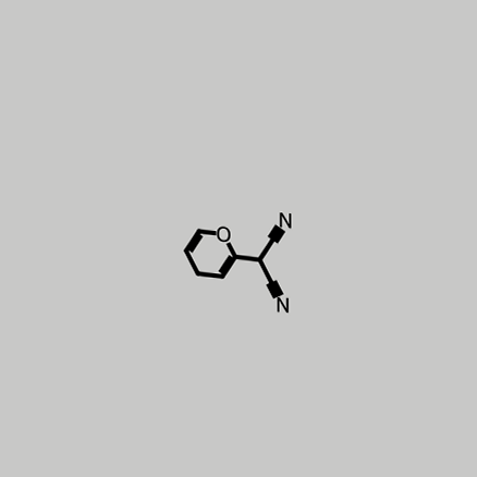 N#CC(C#N)C1=CCC=CO1